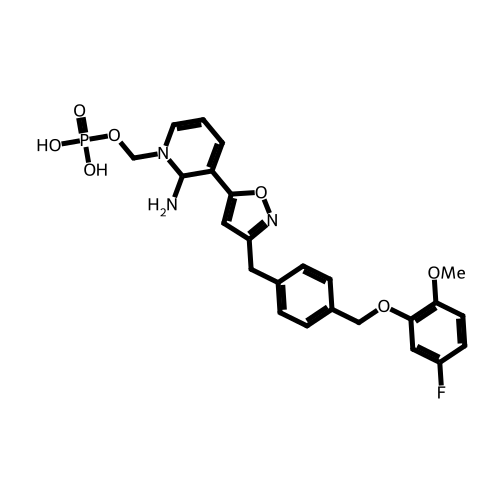 COc1ccc(F)cc1OCc1ccc(Cc2cc(C3=CC=CN(COP(=O)(O)O)C3N)on2)cc1